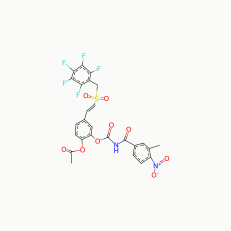 CC(=O)Oc1ccc(C=CS(=O)(=O)Cc2c(F)c(F)c(F)c(F)c2F)cc1OC(=O)NC(=O)c1ccc([N+](=O)[O-])c(C)c1